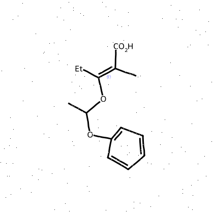 CC/C(OC(C)Oc1ccccc1)=C(/C)C(=O)O